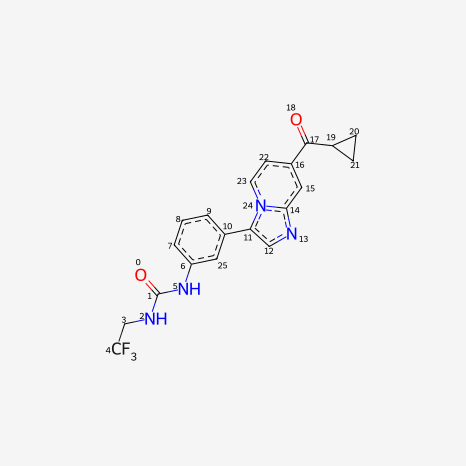 O=C(NCC(F)(F)F)Nc1cccc(-c2cnc3cc(C(=O)C4CC4)ccn23)c1